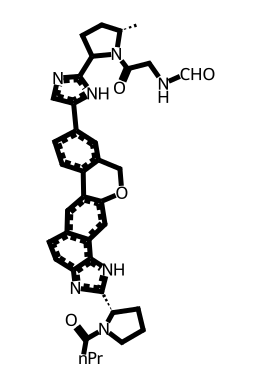 CCCC(=O)N1CCC[C@H]1c1nc2ccc3cc4c(cc3c2[nH]1)OCc1cc(-c2cnc(C3CC[C@H](C)N3C(=O)CNC=O)[nH]2)ccc1-4